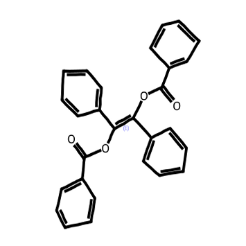 O=C(O/C(=C(/OC(=O)c1ccccc1)c1ccccc1)c1ccccc1)c1ccccc1